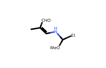 CCC(N/C=C(/C)C=O)OC